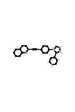 C(#Cc1ccc2ccccc2n1)c1ccc(-n2cnnc2-c2ccncc2)cc1